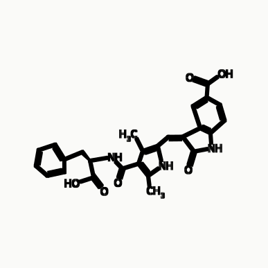 Cc1[nH]c(C=C2C(=O)Nc3ccc(C(=O)O)cc32)c(C)c1C(=O)N[C@H](Cc1ccccc1)C(=O)O